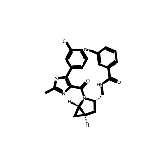 Cc1nc(C(=O)N2[C@H](CNC(=O)c3cccc(Br)c3)C[C@H]3C[C@@H]32)c(-c2cccc(Cl)c2)s1